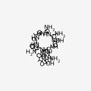 CC(C)C[C@@H]1NC(=O)[C@@H](Cc2ccccc2)NC(=O)[C@H](CCN)NC(=O)[C@@H](NC(=O)[C@H](CN)NC(=O)C(NC(=O)C(C)C2CCCCC2)C(C)O)CCNC(=O)C(C(C)O)NC(=O)[C@H](CCN)NC(=O)[C@H](CCN)NC1=O